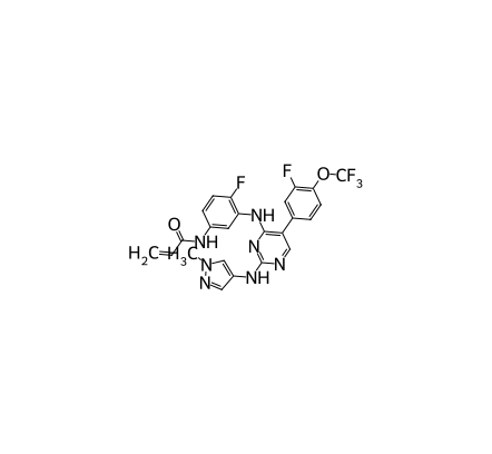 C=CC(=O)Nc1ccc(F)c(Nc2nc(Nc3cnn(C)c3)ncc2-c2ccc(OC(F)(F)F)c(F)c2)c1